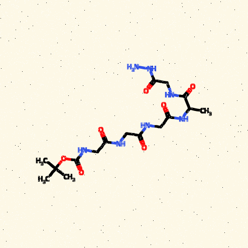 CC(NC(=O)CNC(=O)CNC(=O)CNC(=O)OC(C)(C)C)C(=O)NCC(=O)NN